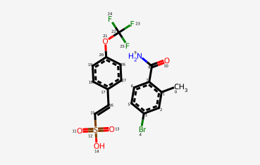 Cc1cc(Br)ccc1C(N)=O.O=S(=O)(O)C=Cc1ccc(OC(F)(F)F)cc1